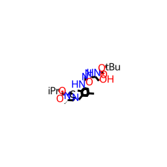 Cc1cc(CN2CCN(C(=O)OC(C)C)[C@@H](C)C2)c(C)c(Nc2nnc(C(CO)NC(=O)OC(C)(C)C)o2)c1